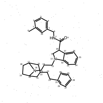 Cc1cccc(CNC(=O)C2CN(CCCN3C4CCC3CC(CCc3ccccc3)C4)c3ccccc32)c1